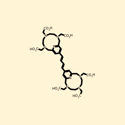 O=C(O)CN1CCN(CC(=O)O)Cc2cc(C=CC=Cc3cc4nc(c3)CN(CC(=O)O)CCN(CC(=O)O)CCN(CC(=O)O)C4)cc(n2)CN(CC(=O)O)CC1